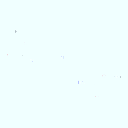 CC(C)(C)OC(=O)NCc1cc2ccn(C(=O)OC(C)(C)C)c2cn1